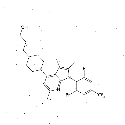 Cc1nc(N2CCC(CCCO)CC2)c2c(C)c(C)n(-c3c(Br)cc(C(F)(F)F)cc3Br)c2n1